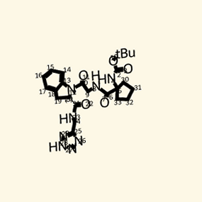 CC(C)(C)OC(=O)NC1(C(=O)NCC(=O)N2c3ccccc3C[C@H]2C(=O)NCc2nn[nH]n2)CCCC1